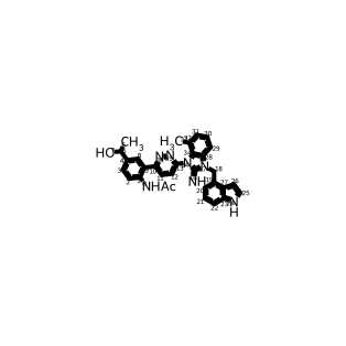 CC(=O)Nc1ccc(C(C)O)cc1-c1ccc(-n2c(=N)n(Cc3cccc4[nH]ccc34)c3cccc(C)c32)nn1